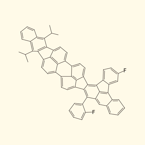 CC(C)c1c2c(c(C(C)C)c3ccccc13)-c1ccc3c4ccc5c6c(ccc(c7ccc-2c1c73)c46)c1c(-c2ccccc2F)c2cc3ccccc3c3c4cc(F)ccc4c(c51)c23